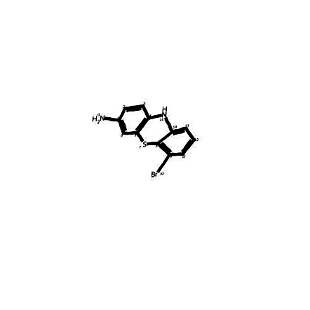 Nc1ccc2c(c1)Sc1c(Br)cccc1N2